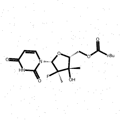 CCCCC(=O)OC[C@H]1O[C@@H](n2ccc(=O)[nH]c2=O)[C@](C)(F)[C@@]1(C)O